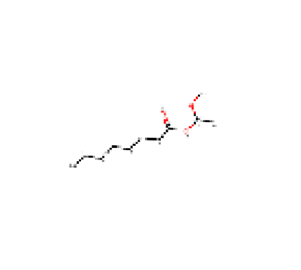 CCCCCCCC(=O)OC(C)OC